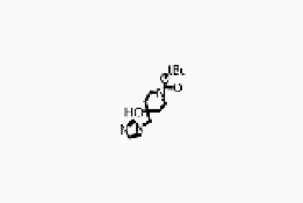 CC(C)(C)OC(=O)N1CCC(O)(Cn2ccnc2)CC1